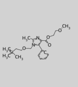 COCCOC(=O)c1nc(C)n(COCC[Si](C)(C)C)c1-c1ccccc1